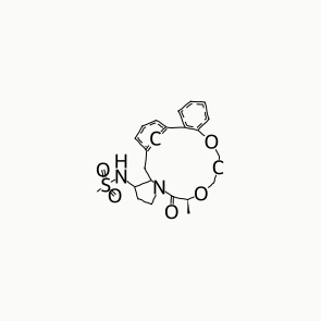 C[C@@H]1OCCCOc2ccccc2-c2cccc(c2)CC2C(NS(C)(=O)=O)CCN2C1=O